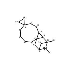 CN1C2CC34CCCCC5(CCC3C4C1(C)C2)CC5